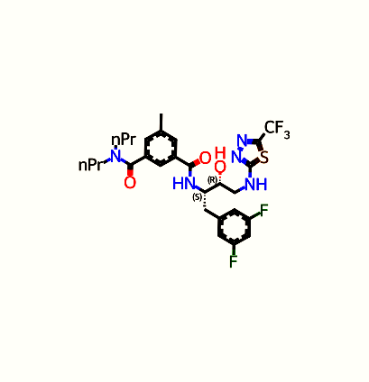 CCCN(CCC)C(=O)c1cc(C)cc(C(=O)N[C@@H](Cc2cc(F)cc(F)c2)[C@H](O)CNc2nnc(C(F)(F)F)s2)c1